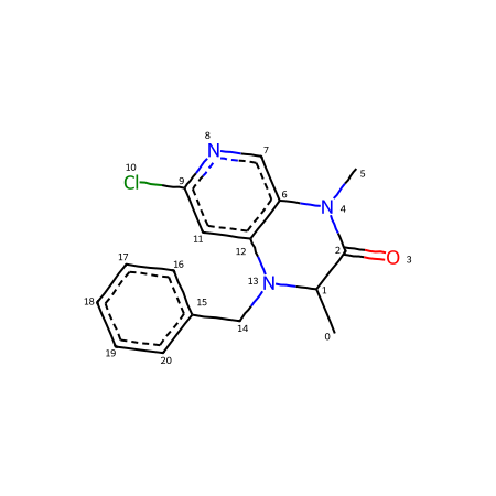 CC1C(=O)N(C)c2cnc(Cl)cc2N1Cc1ccccc1